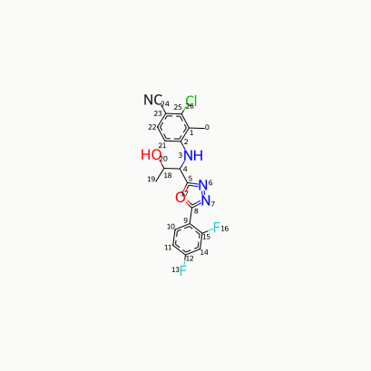 Cc1c(NC(c2nnc(-c3ccc(F)cc3F)o2)C(C)O)ccc(C#N)c1Cl